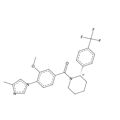 COc1cc(C(=O)N2CCCC[C@H]2c2ccc(C(F)(F)F)cc2)ccc1-n1cnc(C)c1